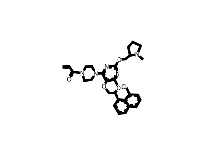 C=CC(=O)N1CCN(c2nc(OCC3CCCN3C)nc3c2OCC(c2cccc4cccc(Cl)c24)O3)CC1